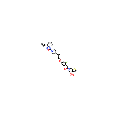 CC(C)c1noc(N2CCC([C@H]3C[C@H]3CCOc3ccc(CC(=O)N4Cc5sccc5C(O)C4)c(F)c3)CC2)n1